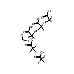 ClCCl.O=C(O)C(F)(F)F.O=C(O)C(F)(F)F.O=C(O)C(F)(F)F.O=C(O)C(F)(F)F.O=C(O)C(F)(F)F